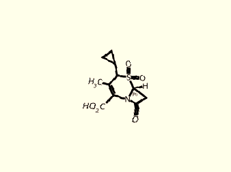 CC1=C(C(=O)O)N2C(=O)C[C@H]2S(=O)(=O)C1C1CC1